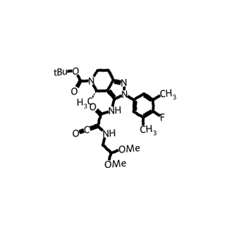 COC(CNC(=C=O)C(=O)Nc1c2c(nn1-c1cc(C)c(F)c(C)c1)CCN(C(=O)OC(C)(C)C)[C@H]2C)OC